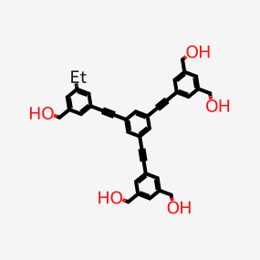 CCc1cc(C#Cc2cc(C#Cc3cc(CO)cc(CO)c3)cc(C#Cc3cc(CO)cc(CO)c3)c2)cc(CO)c1